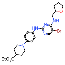 CCOC(=O)C1CCN(c2ccc(Nc3ncc(Br)c(NCC4CCCO4)n3)cc2)CC1